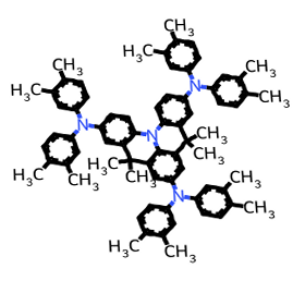 Cc1ccc(N(c2ccc(C)c(C)c2)c2ccc3c(c2)C(C)(C)c2cc(N(c4ccc(C)c(C)c4)c4ccc(C)c(C)c4)cc4c2N3c2ccc(N(c3ccc(C)c(C)c3)c3ccc(C)c(C)c3)cc2C4(C)C)cc1C